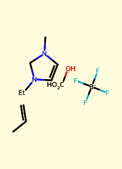 C=CC.CCN1C=CN(C)C1.F[B-](F)(F)F.O=C(O)O